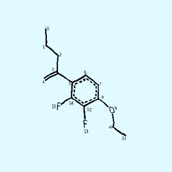 [CH2]CCC(=C)c1ccc(OCC)c(F)c1F